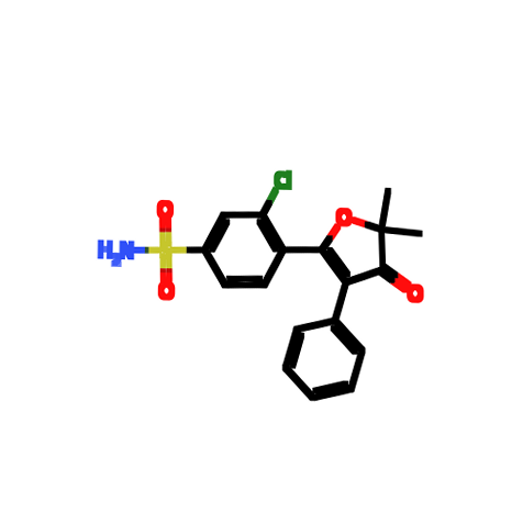 CC1(C)OC(c2ccc(S(N)(=O)=O)cc2Cl)=C(c2ccccc2)C1=O